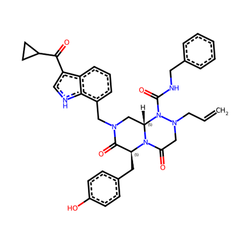 C=CCN1CC(=O)N2[C@@H](Cc3ccc(O)cc3)C(=O)N(Cc3cccc4c(C(=O)C5CC5)c[nH]c34)C[C@@H]2N1C(=O)NCc1ccccc1